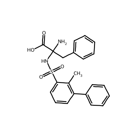 Cc1c(-c2ccccc2)cccc1S(=O)(=O)NC(N)(Cc1ccccc1)C(=O)O